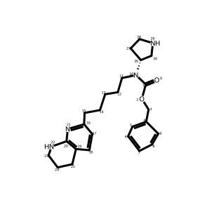 O=C(OCc1ccccc1)N(CCCCCc1ccc2c(n1)NCCC2)[C@@H]1CCNC1